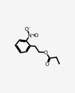 CCC(=O)OCCc1ccccc1[N+](=O)[O-]